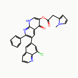 Cn1cccc1CC(=O)Oc1c[nH]c2nc(-c3ccccc3)c(-c3cc(Cl)c4ncccc4c3)cc2c1=O